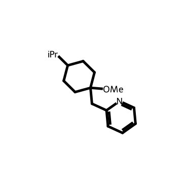 COC1(Cc2ccccn2)CCC(C(C)C)CC1